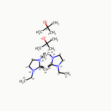 CC(C)(C)[O-].CC(C)(C)[O-].CCN1CCN(C)[C]1=[Co+2]=[C]1N(C)CCN1CC